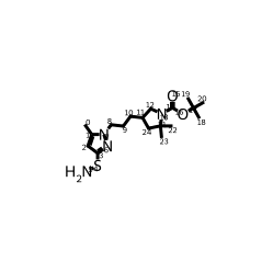 Cc1cc(SN)nn1CCCC1CN(C(=O)OC(C)(C)C)C(C)(C)C1